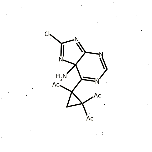 CC(=O)C1(C(C)=O)CC1(C(C)=O)C1=NC=NC2=NC(Cl)=NC21N